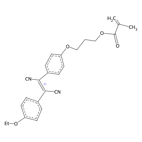 [C-]#[N+]/C(=C(/C#N)c1ccc(OCC)cc1)c1ccc(OCCCOC(=O)C(=C)C)cc1